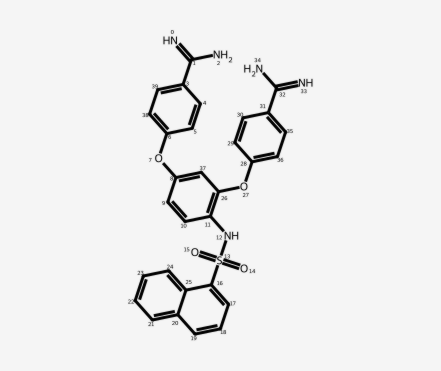 N=C(N)c1ccc(Oc2ccc(NS(=O)(=O)c3cccc4ccccc34)c(Oc3ccc(C(=N)N)cc3)c2)cc1